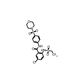 O=C(Nc1ccc(S(=O)(=O)N2CCOCC2)cc1)c1cc(Cl)ccc1NS(=O)(=O)CC(F)(F)F